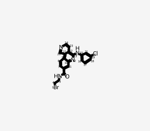 O=C(NCCBr)c1ccc2c(c1)nc(Nc1cccc(Cl)c1)c1ccncc12